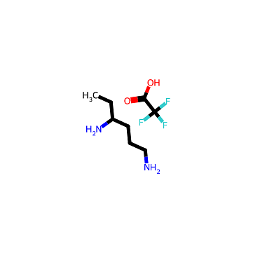 CCC(N)CCCN.O=C(O)C(F)(F)F